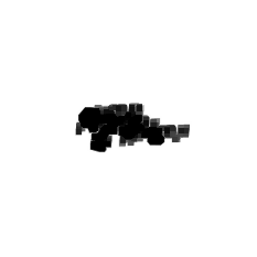 [2H][C@@]1(c2cccc(F)c2C)N=C(c2nccs2)NC(CN2CC(F)(F)[C@H]3[C@@H]2CON3C[C@@H](F)C(C)(C)C(=O)O)=C1C(=O)OCC